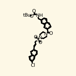 CC(C)(C)OC(=O)NCc1ccc2ccc(C(=O)N3CCN(S(=O)(=O)CC=Cc4ccc5cc(Cl)ccc5c4)CC3)cc2c1